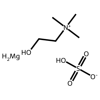 C[N+](C)(C)CCO.O=S(=O)([O-])O.[MgH2]